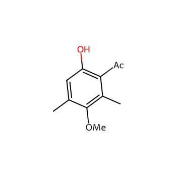 COc1c(C)cc(O)c(C(C)=O)c1C